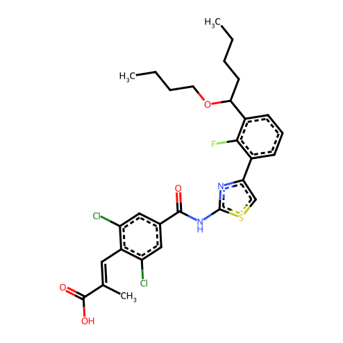 CCCCOC(CCCC)c1cccc(-c2csc(NC(=O)c3cc(Cl)c(C=C(C)C(=O)O)c(Cl)c3)n2)c1F